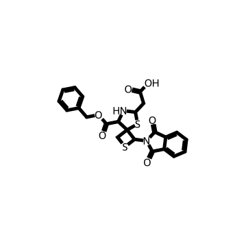 O=C(O)CC1NC(C(=O)OCc2ccccc2)C2(CSC2N2C(=O)c3ccccc3C2=O)S1